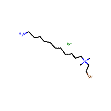 C[N+](C)(CCS)CCCCCCCCCCCN.[Br-]